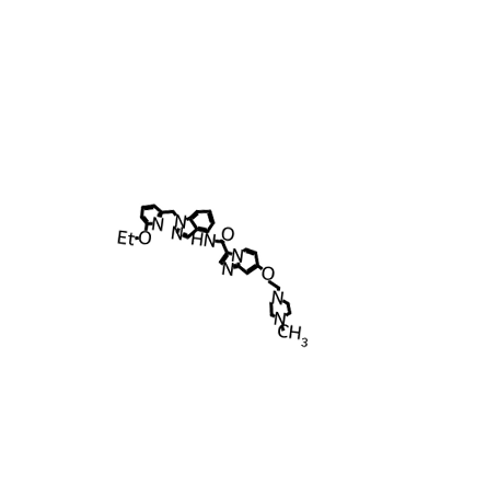 CCOc1cccc(Cn2ncc3c(NC(=O)c4cnc5cc(OCCN6CCN(C)CC6)ccn45)cccc32)n1